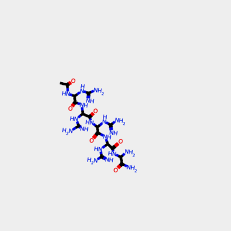 CC(=O)NC(NC(=N)N)C(=O)NC(NC(=N)N)C(=O)NC(NC(=N)N)C(=O)NC(NC(=N)N)C(=O)NC(N)C(N)=O